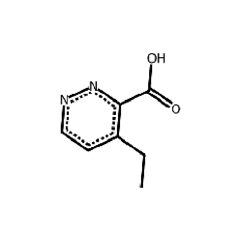 CCc1ccnnc1C(=O)O